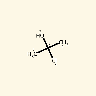 CC(C)(O)Cl